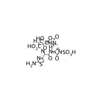 CC(C)(ON=C(C(=O)N[C@@H]1C(=O)N(S(=O)(=O)O)[C@H]1CN1C[C@H](CO)OC1=O)c1csc(N)n1)C(=O)O